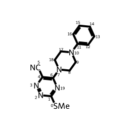 CSc1nnc(C#N)c(N2CCN(c3ccccc3)CC2)n1